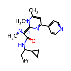 C=N/C(C(=O)NC(CC(C)C)C1CC1)=C1/N=C(c2ccncc2)C=C(C)N1C